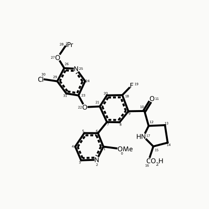 COc1ncccc1-c1cc(C(=O)C2CCC(C(=O)O)N2)c(F)cc1Oc1cnc(OC(C)C)c(Cl)c1